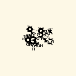 C/C1=C(/C(C)(C)O)[C@@H](O)C(=O)[C@@]2(C)C([C@H](OC(=O)c3ccccc3)C[C@@H]1OC(=O)[C@H](OC(=O)CN1CCOCC1)[C@@H](NC(=O)OC(C)(C)C)c1ccccc1)[C@]1(O)CO[C@@H]1C[C@@H]2O